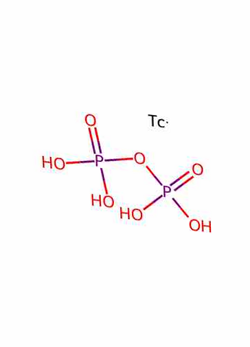 O=P(O)(O)OP(=O)(O)O.[Tc]